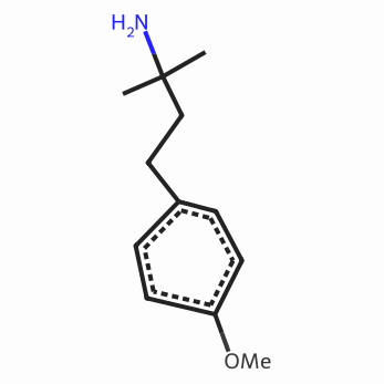 COc1ccc(CCC(C)(C)N)cc1